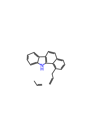 C=CC.C=CCc1cccc2ccc3c4ccccc4[nH]c3c12